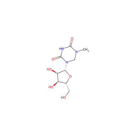 CN1CN([C@@H]2O[C@H](CO)[C@@H](O)[C@H]2O)C(=O)NC1=O